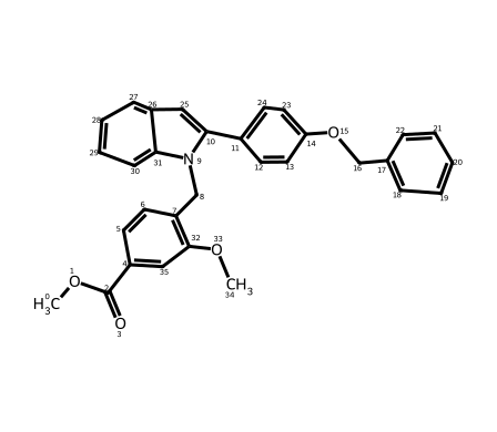 COC(=O)c1ccc(Cn2c(-c3ccc(OCc4ccccc4)cc3)cc3ccccc32)c(OC)c1